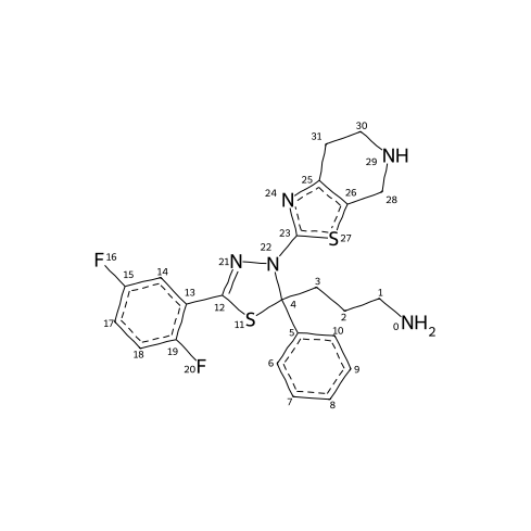 NCCCC1(c2ccccc2)SC(c2cc(F)ccc2F)=NN1c1nc2c(s1)CNCC2